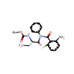 CC(C)(C)OC(=O)N[C@@H](CC(F)(F)F)C(=O)N(C(=O)c1c(F)cccc1[N+](=O)[O-])c1ccccc1